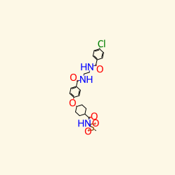 CS(=O)(=O)NC(=O)C1CCC(Oc2ccc(C(=O)NCCNC(=O)c3ccc(Cl)cc3)cc2)CC1